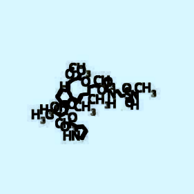 CNS(=O)(=O)CCNC(=O)O[C@H](C)[C@H]1OC(=O)[C@@H](OC)C[C@H]2C=C[C@]3(C)C[C@]2(O[C@H]3[C@H](OC(=O)c2ccc[nH]2)[C@H](C)[C@H](C)O)/C(C)=C/[C@H]1C